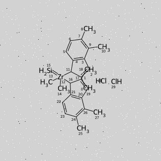 CC1=Cc2c(ccc(C)c2C)[CH]1[Zr]([CH3])([CH3])(=[SiH2])[CH]1C(C)=Cc2c1ccc(C)c2C.Cl.Cl